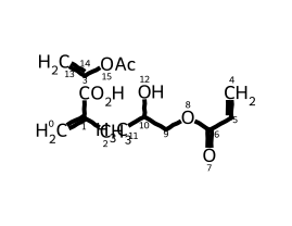 C=C(C)C(=O)O.C=CC(=O)OCC(C)O.C=COC(C)=O